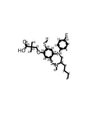 CCCCC1CN(c2ccc(F)cc2)c2cc(SC)c(OCC(C)(C)C(=O)O)cc2SN1C